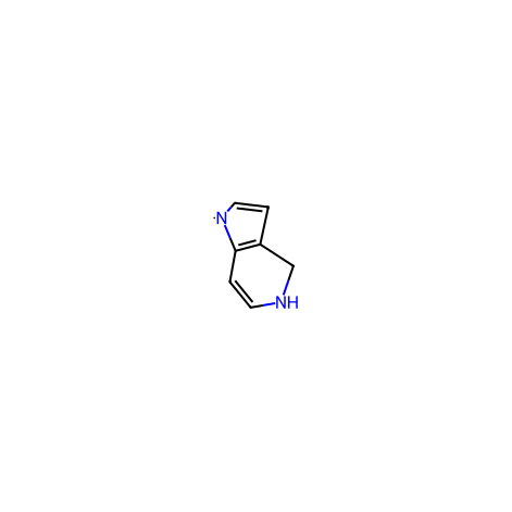 C1=CC2=C(C=CNC2)[N]1